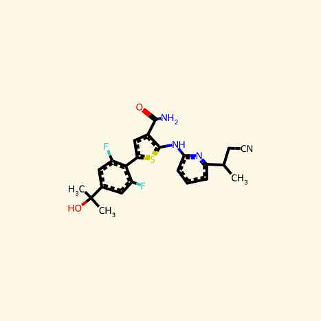 CC(CC#N)c1cccc(Nc2sc(-c3c(F)cc(C(C)(C)O)cc3F)cc2C(N)=O)n1